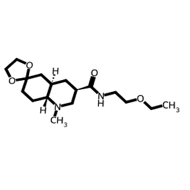 CCOCCNC(=O)[C@@H]1C[C@@H]2CC3(CC[C@H]2N(C)C1)OCCO3